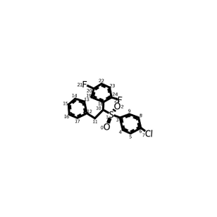 O=S(=O)(c1ccc(Cl)cc1)C(Cc1ccccc1)c1cc(F)ccc1F